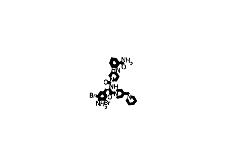 NC(=O)c1ccccc1NC1CCN(C(=O)N[C@H](Cc2cc(Br)c(N)c(Br)c2)C(=O)N2CCC(CN3CCCCC3)CC2)CC1